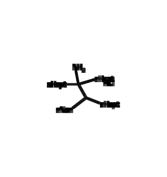 CCCCCCCCCC(CCCCCCC)C(N)(CCCCCCC)CCCCCCC.Cl